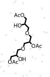 CC(=O)OCC(O)COCC(COCC(O)COC(C)=O)OC(C)=O